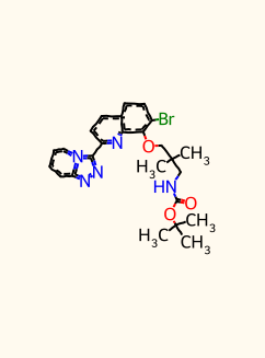 CC(C)(CNC(=O)OC(C)(C)C)COc1c(Br)ccc2ccc(-c3nnc4ccccn34)nc12